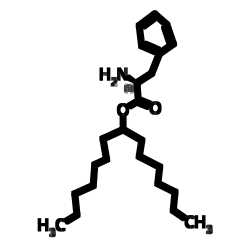 CCCCCCCC(CCCCCCC)OC(=O)[C@@H](N)Cc1ccccc1